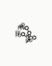 CCOC(=O)c1c(-c2ccccc2)c2ccc(-c3cccc(NC(=O)C(C)(C)C)c3)cc2n1Cc1cccc(OC(F)(F)F)c1